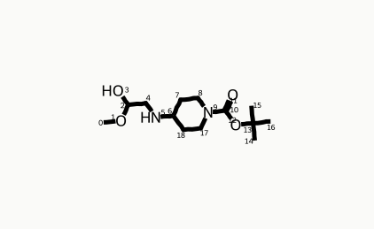 COC(O)CNC1CCN(C(=O)OC(C)(C)C)CC1